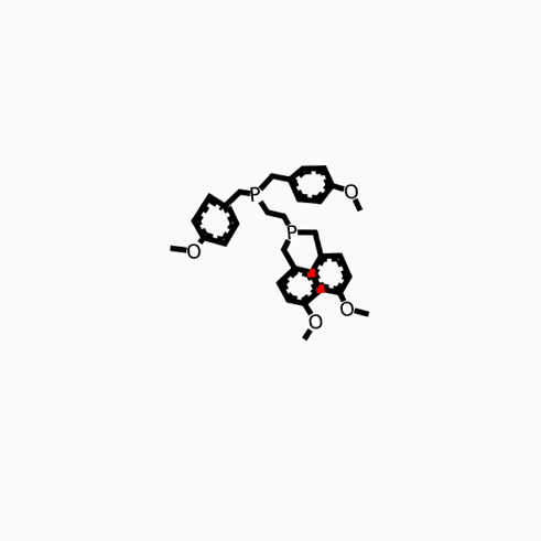 COc1ccc(CP(CCP(Cc2ccc(OC)cc2)Cc2ccc(OC)cc2)Cc2ccc(OC)cc2)cc1